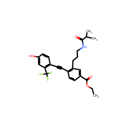 CCOC(=O)c1ccc(C#Cc2ccc(O)cc2C(F)(F)F)c(CCCNC(=O)C(C)C)c1